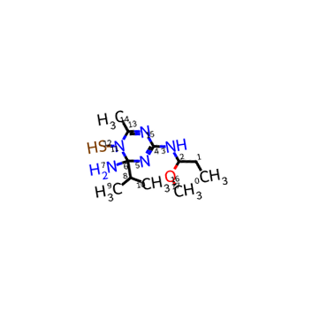 CCC(NC1=NC(N)(C(C)C)N(S)C(C)=N1)OC